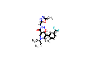 CC[C@H](C)n1cc(C(=O)NCc2nnc(C)o2)c(=O)c(-c2cccc(C(F)F)c2)c1C